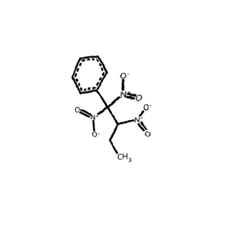 CCC([N+](=O)[O-])C(c1ccccc1)([N+](=O)[O-])[N+](=O)[O-]